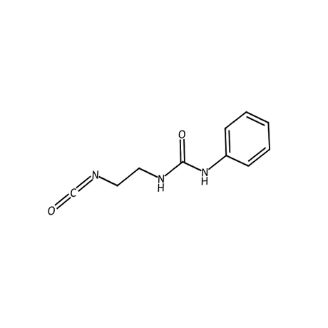 O=C=NCCNC(=O)Nc1ccccc1